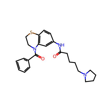 O=C(CCCCN1CCCC1)Nc1ccc2c(c1)N(C(=O)c1ccccc1)CCS2